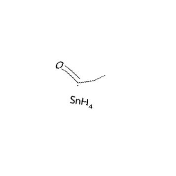 C[C]=O.[SnH4]